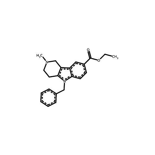 CCOC(=O)c1ccc2c(c1)c1c(n2Cc2ccccc2)CCN(C)C1